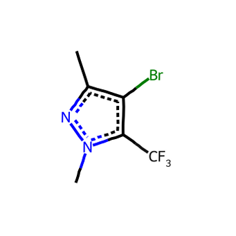 Cc1nn(C)c(C(F)(F)F)c1Br